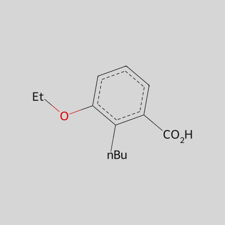 CCCCc1c(OCC)cccc1C(=O)O